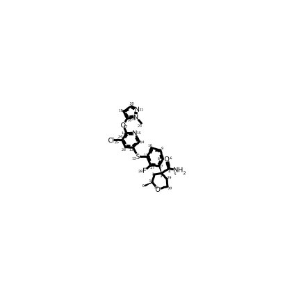 C[C@H]1C[C@@](C(N)=O)(c2cccc(Sc3cnc(Oc4ccnn4C)c(Cl)c3)c2F)CCO1